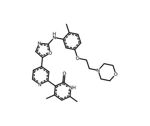 Cc1cc(C)c(-c2cc(-c3cnc(Nc4cc(OCCN5CCOCC5)ccc4C)o3)ccn2)c(=O)[nH]1